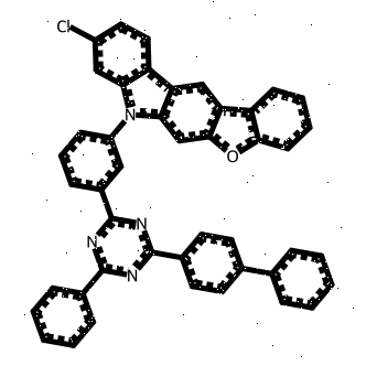 Clc1ccc2c3cc4c(cc3n(-c3cccc(-c5nc(-c6ccccc6)nc(-c6ccc(-c7ccccc7)cc6)n5)c3)c2c1)oc1ccccc14